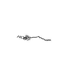 CCCCCCCCCCCCCCCCOCCOC1C(O)COC(CO)[C@H]1O